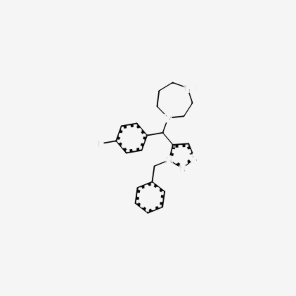 Fc1ccc(C(c2cnnn2Cc2ccccc2)N2CCCNCC2)cc1